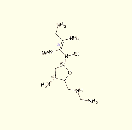 CCN(/C(NC)=C(\N)CN)[C@H]1C[C@@H](N)C(CNCN)O1